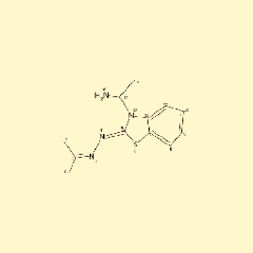 CC(C)=N/N=c1\sc2ccccc2n1C(C)N